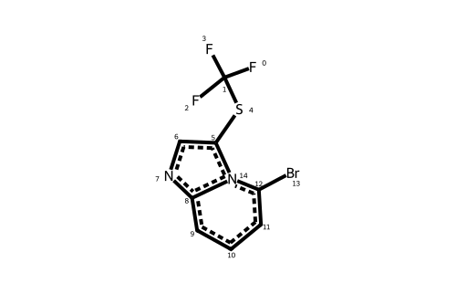 FC(F)(F)Sc1cnc2cccc(Br)n12